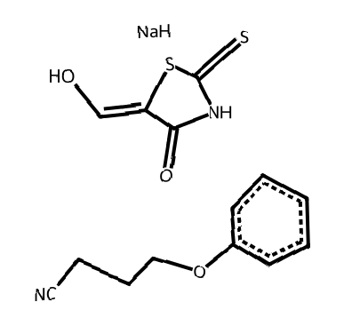 N#CCCCOc1ccccc1.O=C1NC(=S)SC1=CO.[NaH]